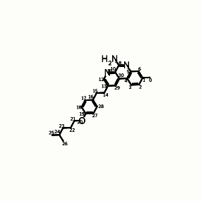 Cc1ccc2c(c1)nc(N)c1ncc(CCc3ccc(OCCCC(C)C)cc3)cc12